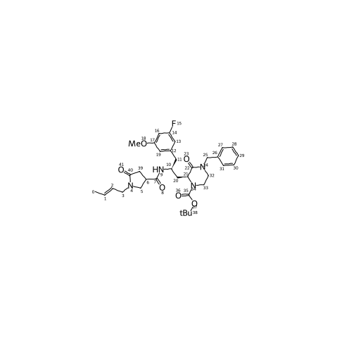 CC=CCN1CC(C(=O)N[C@@H](Cc2cc(F)cc(OC)c2)C[C@H]2C(=O)N(Cc3ccccc3)CCN2C(=O)OC(C)(C)C)CC1=O